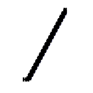 N#S\N=N/N=N\N=N/N=N\N=N/N=N\N=N/N=N\N=N/N=N\N=N/N=N\N=N/N=N\N=N/N=N\N=N/N=N\N=N/N=N\N=N/N=N\N=N/N=N\N=N/N=N\N=N/N=N\N=N/N=N\N=N/N=N\N=N/N=N\N=N/N=N\N=N/N=N\N=N/N=N